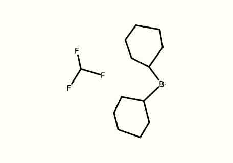 FC(F)F.[B](C1CCCCC1)C1CCCCC1